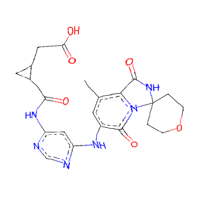 Cc1cc(Nc2cc(NC(=O)C3CC3CC(=O)O)ncn2)c(=O)n2c1C(=O)NC21CCOCC1